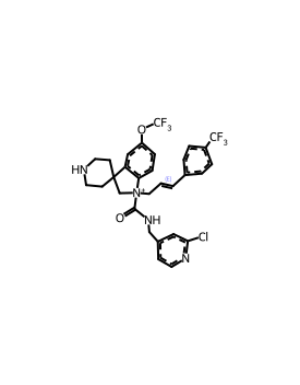 O=C(NCc1ccnc(Cl)c1)[N+]1(C/C=C/c2ccc(C(F)(F)F)cc2)CC2(CCNCC2)c2cc(OC(F)(F)F)ccc21